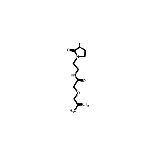 C=C(C)COCC(=O)NCCN1CCNC1=O